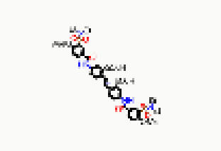 CCN(CC)S(=O)(=O)c1cc(C(=O)Nc2ccc(/C=C/c3ccc(NC(=O)c4ccc(OC)c(S(=O)(=O)N(CC)CC)c4)cc3S(=O)(=O)O)c(S(=O)(=O)O)c2)ccc1OC